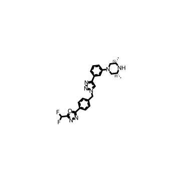 C[C@@H]1CN(c2cccc(-c3cn(Cc4ccc(-c5nnc(C(F)F)o5)cc4)nn3)c2)C[C@H](C)N1